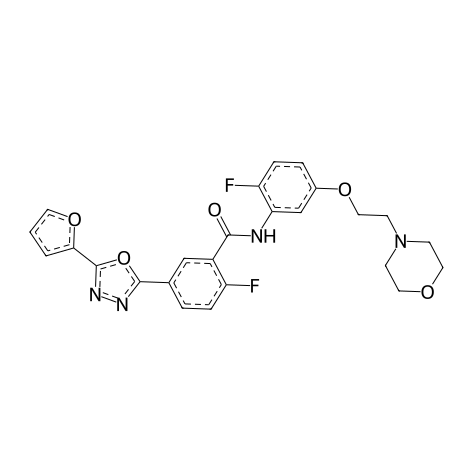 O=C(Nc1cc(OCCN2CCOCC2)ccc1F)c1cc(-c2nnc(-c3ccco3)o2)ccc1F